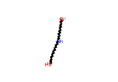 OCCCCCCCCCCCCCCNCCCCCCCCCCCCCCO